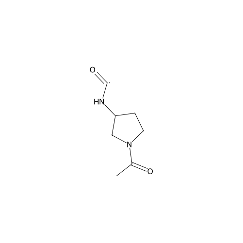 CC(=O)N1CCC(N[C]=O)C1